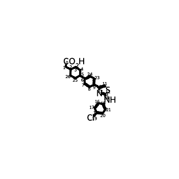 O=C(O)CC1CCC(c2ccc(-c3csc(Nc4ccc(Cl)cc4)n3)cc2)CC1